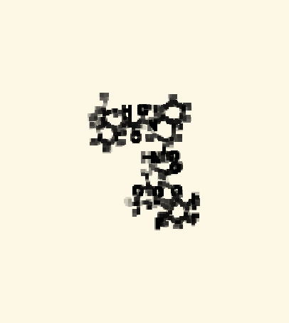 CC(C)(C)OC(=O)C[C@H](NC(=O)[C@@H]1Cc2ccccc2N(C(=O)C(=O)Nc2ccccc2C(C)(C)C)C1)C(=O)COc1c(F)c(F)cc(F)c1F